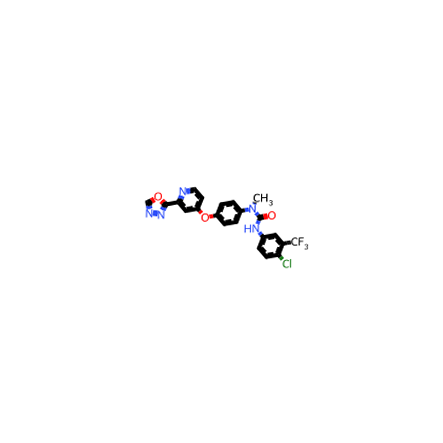 CN(C(=O)Nc1ccc(Cl)c(C(F)(F)F)c1)c1ccc(Oc2ccnc(-c3nnco3)c2)cc1